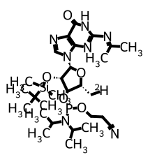 [2H]C[C@H]1O[C@@H](n2cnc3c(=O)[nH]c(N=C(C)C)nc32)[C@@H](O[Si](C)(C)C(C)(C)C)C1OP(OCCC#N)N(C(C)C)C(C)C